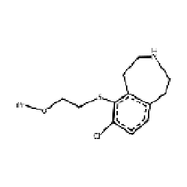 CC(C)OCCSc1c(Cl)ccc2c1CCNCC2